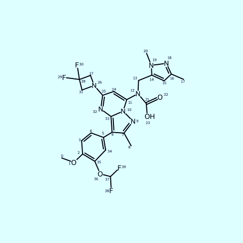 COc1ccc(-c2c(C)nn3c(N(Cc4cc(C)nn4C)C(=O)O)cc(N4CC(F)(F)C4)nc23)cc1OC(F)F